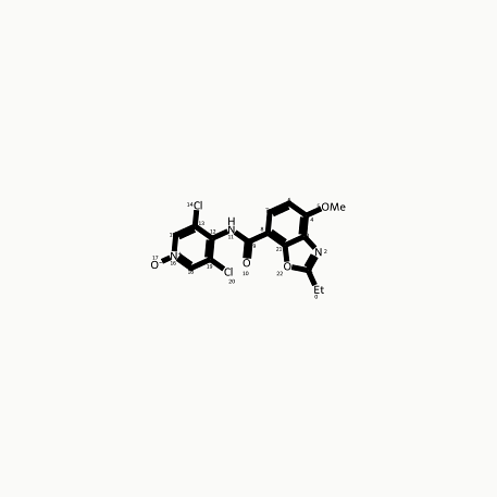 CCc1nc2c(OC)ccc(C(=O)Nc3c(Cl)c[n+]([O-])cc3Cl)c2o1